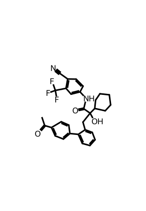 CC(=O)c1ccc(-c2ccccc2CC(O)(C(=O)Nc2ccc(C#N)c(C(F)(F)F)c2)C2CCCCC2)cc1